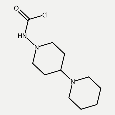 O=C(Cl)NN1CCC(N2CCCCC2)CC1